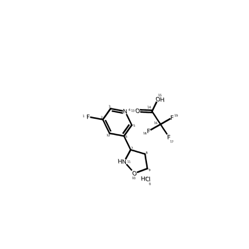 Cl.Fc1cncc(C2CCON2)c1.O=C(O)C(F)(F)F